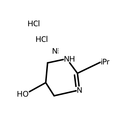 CC(C)C1=NCC(O)CN1.Cl.Cl.[N]